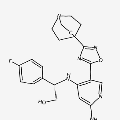 Nc1cc(N[C@H](CO)c2ccc(F)cc2)c(-c2nc(C34CCN(CC3)CC4)no2)cn1